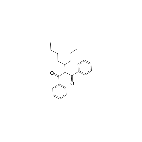 CCCCC(CCC)C(C(=O)c1ccccc1)C(=O)c1ccccc1